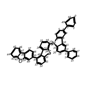 c1ccc(-c2ccc3c(c2)c2cc(-c4ccccc4)ccc2n3-c2cccc3c2sc2cccc(-c4ccc5c(c4)oc4ccccc45)c23)cc1